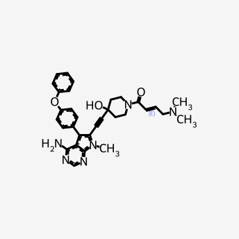 CN(C)C/C=C/C(=O)N1CCC(O)(C#Cc2c(-c3ccc(Oc4ccccc4)cc3)c3c(N)ncnc3n2C)CC1